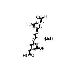 O=C(O)CN(CCOCCOCCN(CC(=O)O)CC(=O)O)CC(=O)O.[NaH].[NaH]